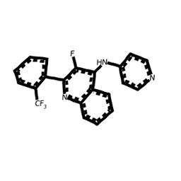 Fc1c(-c2ccccc2C(F)(F)F)nc2ccccc2c1Nc1ccncc1